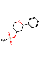 CS(=O)(=O)OC1CCOC(c2ccccc2)C1